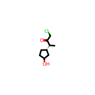 CC(C(=O)CCl)[C@H]1CCC(O)C1